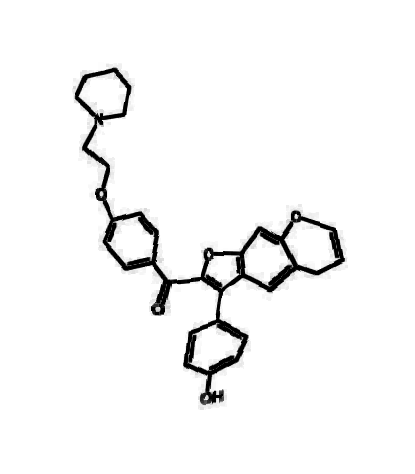 O=C(c1ccc(OCCN2CCCCC2)cc1)c1oc2cc3c(cc2c1-c1ccc(O)cc1)CC=CO3